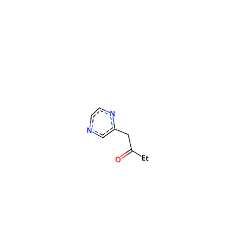 CCC(=O)Cc1cnccn1